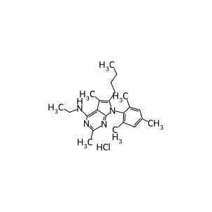 CCCCc1c(C)c2c(NCC)nc(C)nc2n1-c1c(C)cc(C)cc1C.Cl